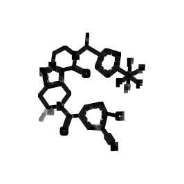 CC(c1ccc(S(F)(F)(F)(F)F)cc1)N1CCn2nc3c(c2C1=O)CN(C(=O)c1ccc(Cl)c(C#N)c1)[C@H](C)C3